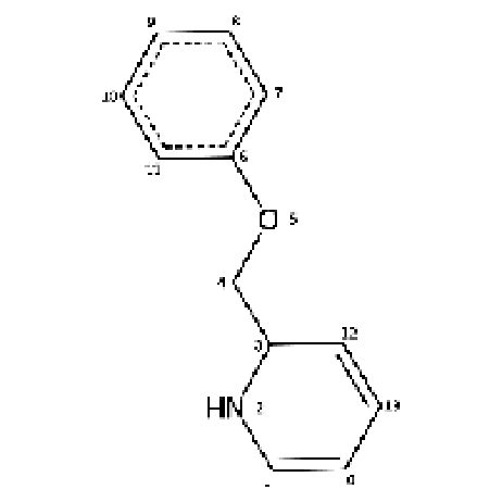 C1=CNC(COc2ccccc2)C=C1